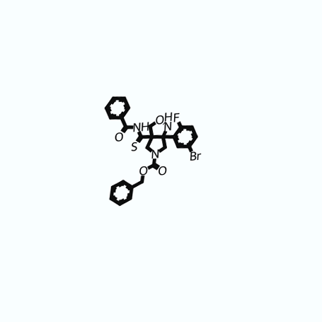 O=C(NC(=S)C12CONC1(c1cc(Br)ccc1F)CN(C(=O)OCc1ccccc1)C2)c1ccccc1